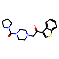 O=C(CN1CCN(C(=O)N2CCCC2)CC1)c1csc2ccccc12